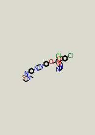 CCN1CCCSC1=Nc1ccc(N2CCN(c3ccc(OCC4COC(Cn5ccnc5)(c5ccc(Cl)cc5Cl)O4)cc3)CC2)cc1